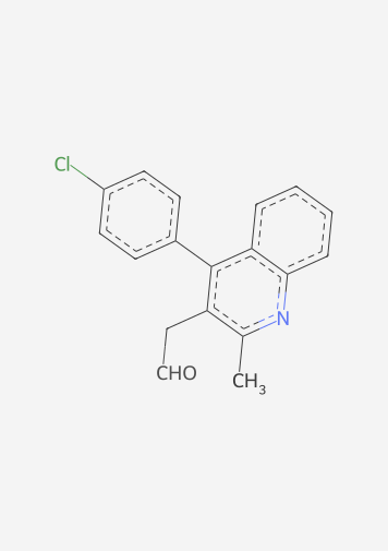 Cc1nc2ccccc2c(-c2ccc(Cl)cc2)c1CC=O